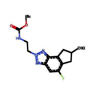 CC(C)(C)OC(=O)NCCn1nc2cc(F)c3c(c2n1)CC(C=O)C3